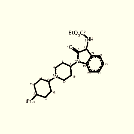 CCOC(=O)NC1C(=O)N(C2CCN(C3CCC(C(C)C)CC3)CC2)c2ccccc21